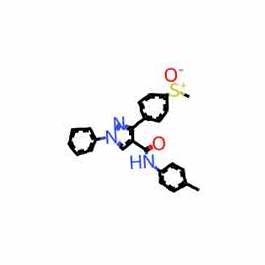 Cc1ccc(NC(=O)c2cn(-c3ccccc3)nc2-c2ccc([S+](C)[O-])cc2)cc1